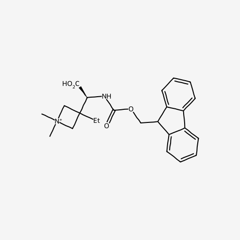 CCC1([C@H](NC(=O)OCC2c3ccccc3-c3ccccc32)C(=O)O)C[N+](C)(C)C1